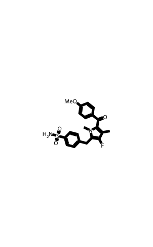 COc1ccc(C(=O)c2c(C)c(F)c(Cc3ccc(S(N)(=O)=O)cc3)n2C)cc1